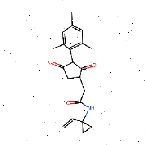 C=CC1(NC(=O)CC2CC(=O)C(c3c(C)cc(C)cc3C)C2=O)CC1